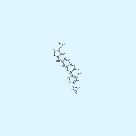 Cc1cc2cnc(Nc3cnn(C4CC4)c3C)nc2cc1[C@@H]1CCN(C2COC2)C[C@H]1F